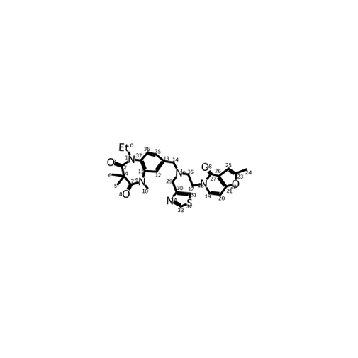 CCN1C(=O)C(C)(C)C(=O)N(C)c2cc(CN(CCn3ccc4oc(C)cc4c3=O)Cc3cscn3)ccc21